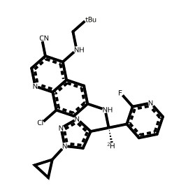 [2H][C@@](Nc1cc(Cl)c2ncc(C#N)c(NCC(C)(C)C)c2c1)(c1cn(C2CC2)nn1)c1cccnc1F